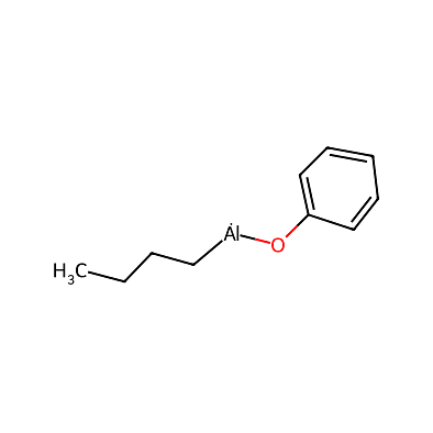 CCC[CH2][Al][O]c1ccccc1